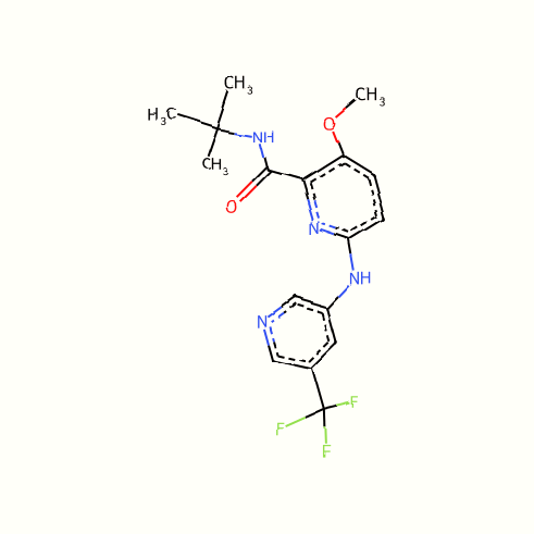 COc1ccc(Nc2cncc(C(F)(F)F)c2)nc1C(=O)NC(C)(C)C